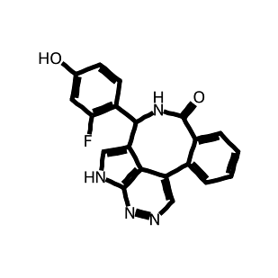 O=C1NC(c2ccc(O)cc2F)c2c[nH]c3nncc(c23)-c2ccccc21